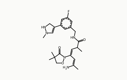 C/C(N)=C/C(=C\C(C)C(=O)NCc1cc(F)cc(C2=CN(C)NC2)c1)N1OCC(C)(C)C1=O